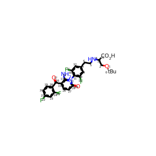 CC(C)(C)OCC(NCCc1cc(F)c(-n2c(N)c(C(=O)c3ccc(F)cc3F)ccc2=O)c(F)c1)C(=O)O